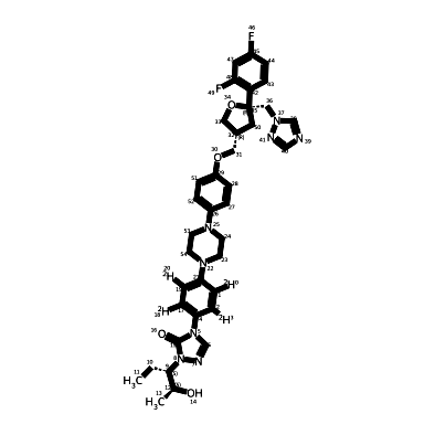 [2H]c1c([2H])c(-n2cnn([C@@H](CC)[C@H](C)O)c2=O)c([2H])c([2H])c1N1CCN(c2ccc(OC[C@@H]3CO[C@@](Cn4cncn4)(c4ccc(F)cc4F)C3)cc2)CC1